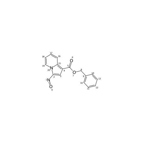 O=Nc1cc(C(=O)OCc2ccccc2)c2ccccn12